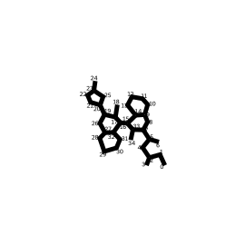 CCC(C)CC(C)C1CC2CCCCC2C(C2C(C)C(C3CCC(C)C3)CC3CCCCC32)C1C